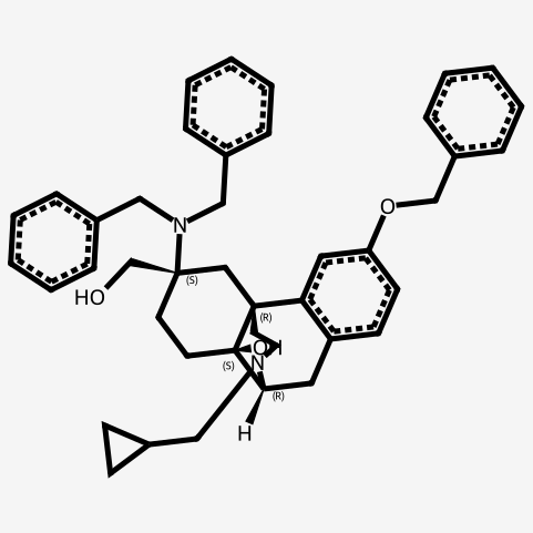 OC[C@]1(N(Cc2ccccc2)Cc2ccccc2)CC[C@@]2(O)[C@H]3Cc4ccc(OCc5ccccc5)cc4[C@@]2(CCN3CC2CC2)C1